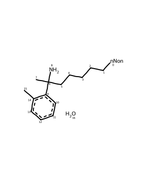 CCCCCCCCCCCCCCC(C)(N)c1ccccc1C.O